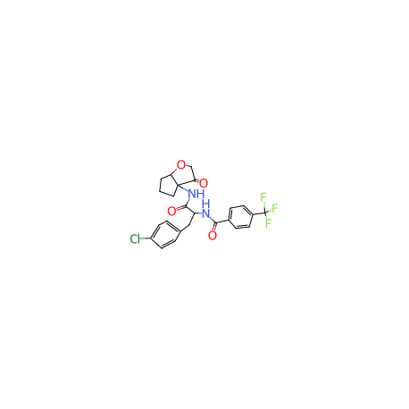 O=C(NC(Cc1ccc(Cl)cc1)C(=O)NC12CCCC1OCC2=O)c1ccc(C(F)(F)F)cc1